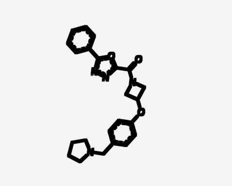 O=C(c1nnc(-c2ccccc2)o1)N1CC(Oc2ccc(CN3CCCC3)cc2)C1